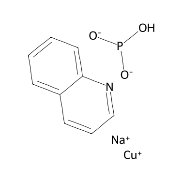 [Cu+].[Na+].[O-]P([O-])O.c1ccc2ncccc2c1